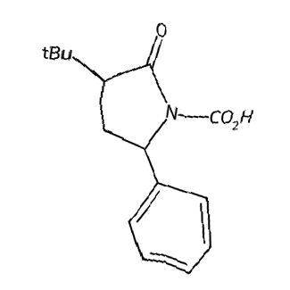 CC(C)(C)C1CC(c2ccccc2)N(C(=O)O)C1=O